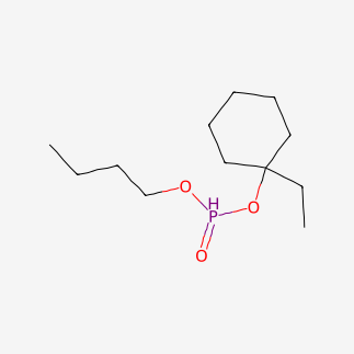 CCCCO[PH](=O)OC1(CC)CCCCC1